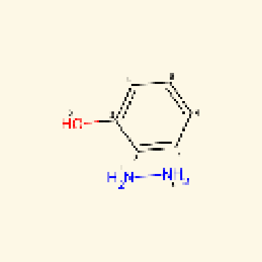 NN.Oc1ccccc1